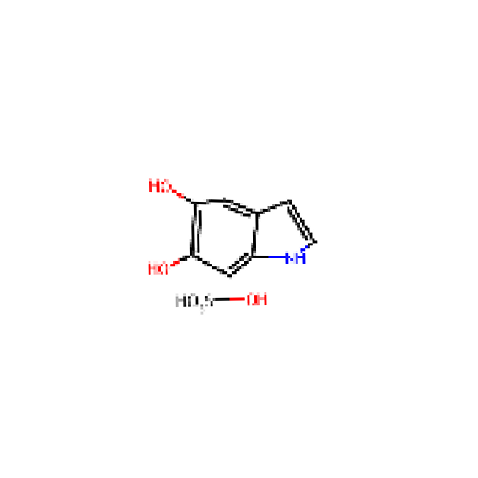 O=S(=O)(O)O.Oc1cc2cc[nH]c2cc1O